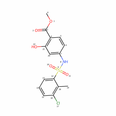 COC(=O)c1ccc(NS(=O)(=O)c2cccc(Cl)c2C)cc1O